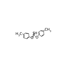 Cc1ccc(OP(S)Oc2ccc(C)cc2)cc1